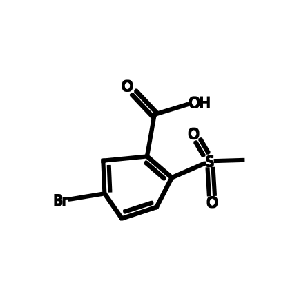 CS(=O)(=O)c1ccc(Br)cc1C(=O)O